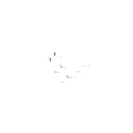 O=C(O)C(=O)O.O=C(O)CS.O=C(O)CS.OCCO